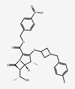 C[C@@H](O)[C@H]1C(=O)N2C(C(=O)OCc3ccc([N+](=O)[O-])cc3)=C(SC3CN(Cc4ccc(F)cc4)C3)[C@H](C)[C@H]12